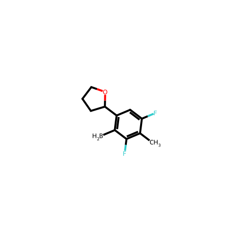 Bc1c(C2CCCO2)cc(F)c(C)c1F